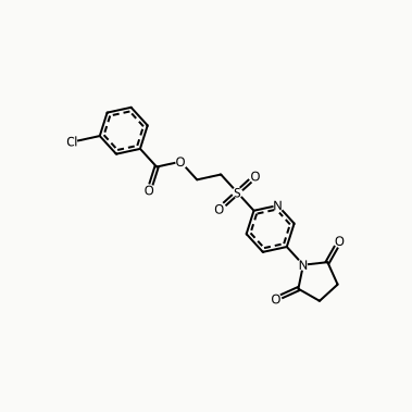 O=C(OCCS(=O)(=O)c1ccc(N2C(=O)CCC2=O)cn1)c1cccc(Cl)c1